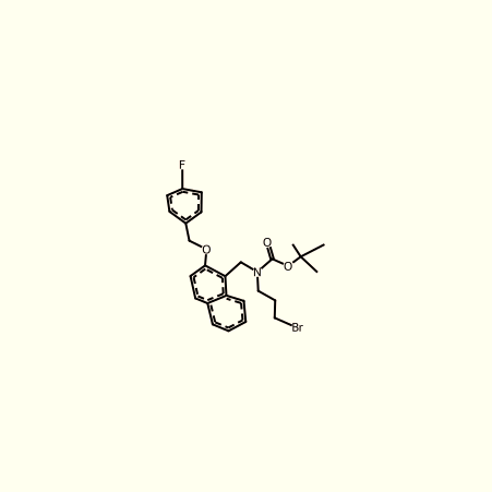 CC(C)(C)OC(=O)N(CCCBr)Cc1c(OCc2ccc(F)cc2)ccc2ccccc12